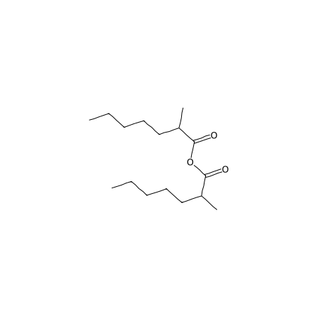 CCCCCC(C)C(=O)OC(=O)C(C)CCCCC